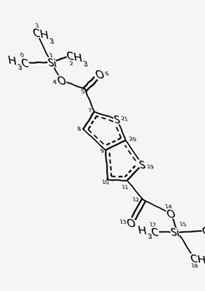 C[Si](C)(C)OC(=O)c1cc2cc(C(=O)O[Si](C)(C)C)sc2s1